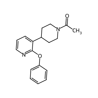 CC(=O)N1CCC(c2cccnc2Oc2ccccc2)CC1